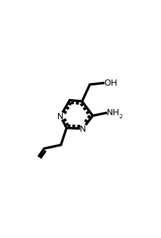 C=CCc1ncc(CO)c(N)n1